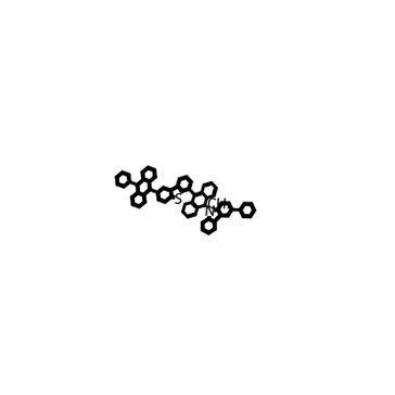 C[C@@]12C=CC=CC1=C(c1cccc3c1sc1ccc(-c4c5ccccc5c(-c5ccccc5)c5ccccc45)cc13)C1=C(C=CCC1)C2n1c2ccccc2c2cc(-c3ccccc3)ccc21